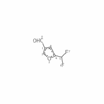 O=Cc1coc(C(F)F)c1